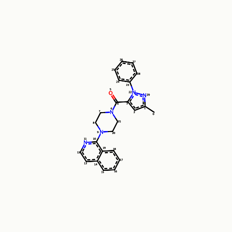 Cc1cc(C(=O)N2CCN(c3nccc4ccccc34)CC2)n(-c2ccccc2)n1